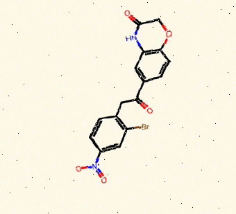 O=C1COc2ccc(C(=O)Cc3ccc([N+](=O)[O-])cc3Br)cc2N1